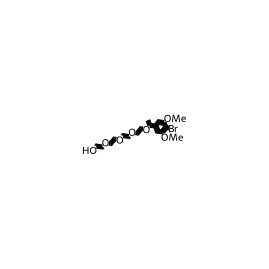 COc1cc(C(C)OCCOCCOCCOCCO)cc(OC)c1Br